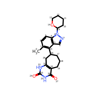 Cc1ccc2c(cnn2C2CCCCO2)c1C1CCCc2c([nH]c(=O)[nH]c2=O)C1